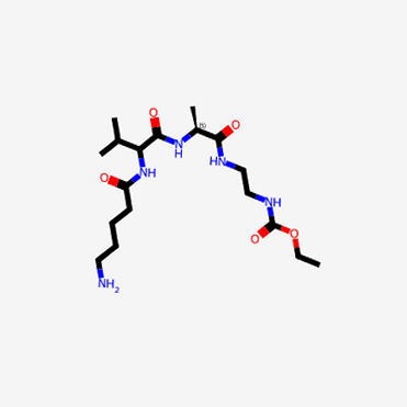 CCOC(=O)NCCNC(=O)[C@H](C)NC(=O)C(NC(=O)CCCCN)C(C)C